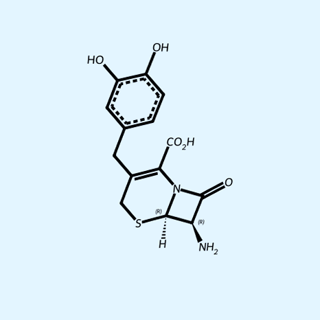 N[C@@H]1C(=O)N2C(C(=O)O)=C(Cc3ccc(O)c(O)c3)CS[C@H]12